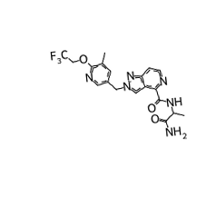 Cc1cc(Cn2cc3c(C(=O)NC(C)C(N)=O)nccc3n2)cnc1OCC(F)(F)F